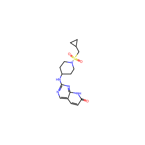 O=c1ccc2cnc(NC3CCN(S(=O)(=O)CC4CC4)CC3)nc2[nH]1